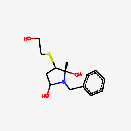 C[C@]1(O)[C@H](SCCO)CC(O)N1Cc1ccccc1